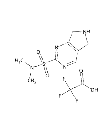 CN(C)S(=O)(=O)c1ncc2c(n1)CNC2.O=C(O)C(F)(F)F